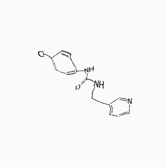 O=C(NCc1cccnc1)Nc1ccc(Cl)cc1